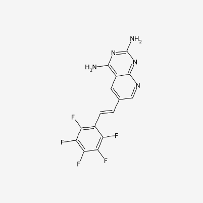 Nc1nc(N)c2cc(C=Cc3c(F)c(F)c(F)c(F)c3F)cnc2n1